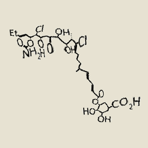 CC/C=C/[C@@H](OC(N)=O)[C@@H](Cl)[C@H](O)CC(=O)[C@@H](O)[C@H](O)[C@H](C)/C(Cl)=C/C=C/C=C(C)/C=C/C=C/C(=O)OC1CC(C(=O)O)CC(O)C1O